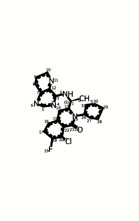 C[C@H](Nc1ncnc2cccnc12)c1cc2ccc(F)c(Cl)c2c(=O)n1-c1ccccc1